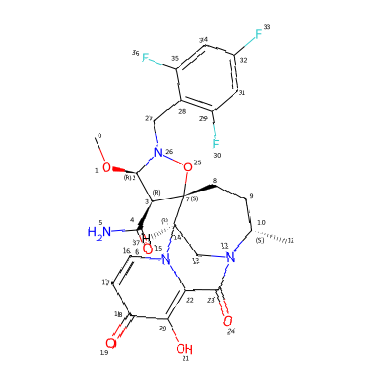 CO[C@@H]1[C@H](C(N)=O)[C@]2(CC[C@H](C)N3C[C@H]2n2ccc(=O)c(O)c2C3=O)ON1Cc1c(F)cc(F)cc1F